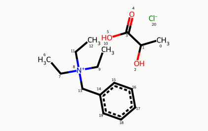 CC(O)C(=O)O.CC[N+](CC)(CC)Cc1ccccc1.[Cl-]